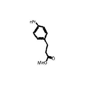 CCCc1ccc(CCC(=O)OC)cc1